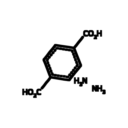 N.N.O=C(O)c1ccc(C(=O)O)cc1